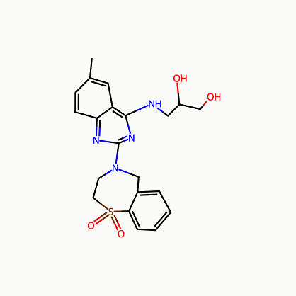 Cc1ccc2nc(N3CCS(=O)(=O)c4ccccc4C3)nc(NCC(O)CO)c2c1